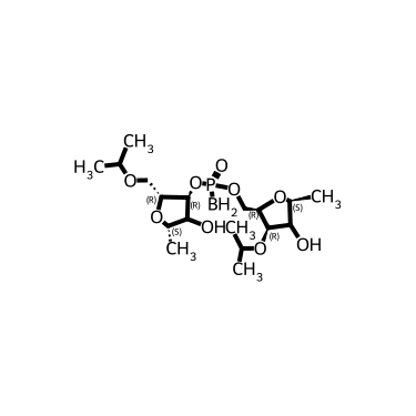 BP(=O)(OC[C@H]1O[C@@H](C)C(O)[C@H]1OC(C)C)O[C@@H]1C(O)[C@H](C)O[C@@H]1COC(C)C